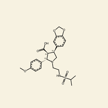 COc1ccc([C@@H]2[C@@H](C(=O)O)[C@@H](c3ccc4c(c3)OCO4)CN2CCNS(=O)(=O)C(C)C)cc1